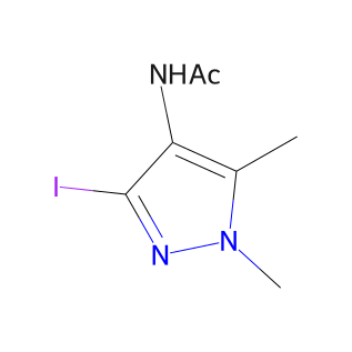 CC(=O)Nc1c(I)nn(C)c1C